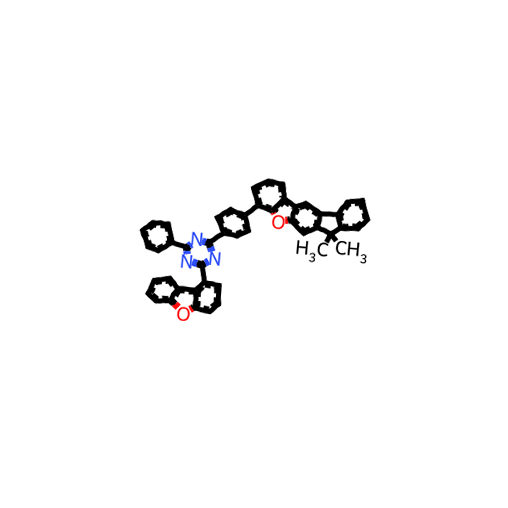 CC1(C)c2ccccc2-c2cc3c(cc21)oc1c(-c2ccc(-c4nc(-c5ccccc5)nc(-c5cccc6oc7ccccc7c56)n4)cc2)cccc13